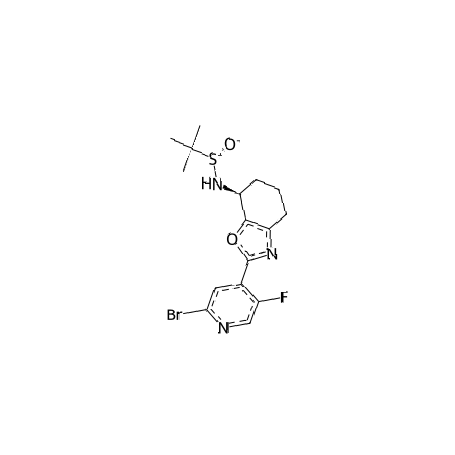 CC(C)(C)[S@+]([O-])N[C@H]1CCCc2nc(-c3cc(Br)ncc3F)oc21